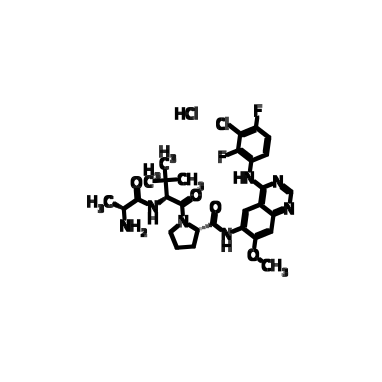 COc1cc2ncnc(Nc3ccc(F)c(Cl)c3F)c2cc1NC(=O)[C@@H]1CCCN1C(=O)[C@@H](NC(=O)[C@H](C)N)C(C)(C)C.Cl